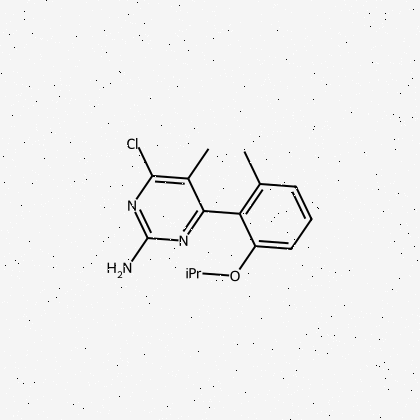 Cc1cccc(OC(C)C)c1-c1nc(N)nc(Cl)c1C